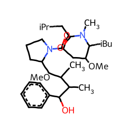 CCC(C)C(C(CC(=O)N1CCCC1C(OC)C(C)C(C)C(O)c1ccccc1)OC)N(C)C(=O)CC(C)C